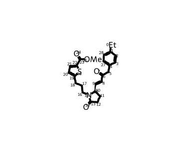 CCc1ccc(CC(=O)C=C[C@H]2CCC(=O)N2CCCc2ccc(C(=O)OC)s2)cc1